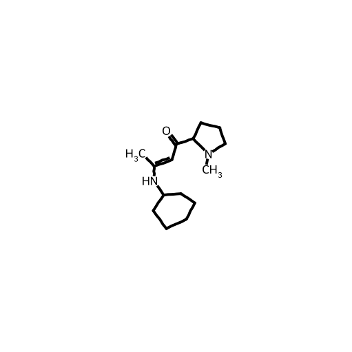 CC(=CC(=O)C1CCCN1C)NC1CCCCC1